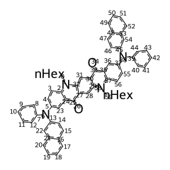 CCCCCCn1c2ccc(N(c3ccccc3)c3ccc4ccccc4c3)cc2c(=O)c2cc3c(cc21)c(=O)c1cc(N(c2ccccc2)c2ccc4ccccc4c2)ccc1n3CCCCCC